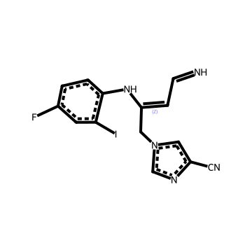 N#Cc1cn(C/C(=C/C=N)Nc2ccc(F)cc2I)cn1